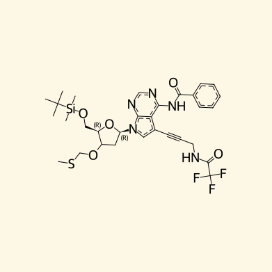 CSCOC1C[C@H](n2cc(C#CCNC(=O)C(F)(F)F)c3c(NC(=O)c4ccccc4)ncnc32)O[C@@H]1CO[Si](C)(C)C(C)(C)C